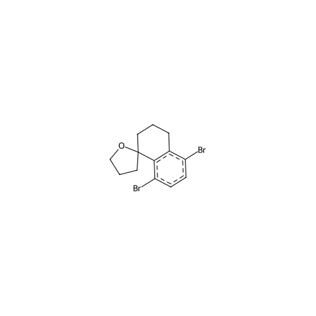 Brc1ccc(Br)c2c1CCCC21CCCO1